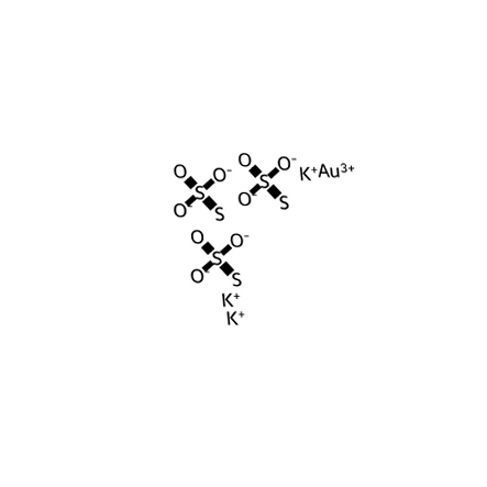 O=S([O-])([O-])=S.O=S([O-])([O-])=S.O=S([O-])([O-])=S.[Au+3].[K+].[K+].[K+]